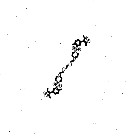 Cc1ccc(-c2c(C)noc2C)cc1S(=O)(=O)N1CCN(CCOCCOCCN2CCN(S(=O)(=O)c3cc(-c4c(C)noc4C)ccc3C)CC2)CC1